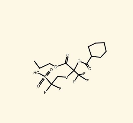 CCCOC(=O)C(OCC(F)(F)S(=O)(=O)O)(OC(=O)C1CCCCC1)C(F)(F)F